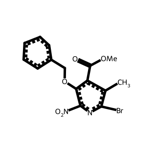 COC(=O)c1c(C)c(Br)nc([N+](=O)[O-])c1OCc1ccccc1